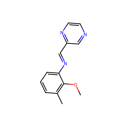 COc1c(C)cccc1/N=C/c1cnccn1